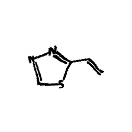 C=Cc1nncs1